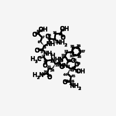 C[C@H](NC(=O)[C@H](CCC(=O)O)NC(=O)[C@@H](N)CC(=O)O)C(=O)N[C@@H](CCC(N)=O)C(=O)N[C@@H](Cc1ccccc1)C(=O)N[C@@H](CCC(N)=O)C(=O)O